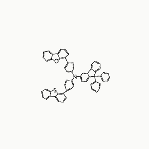 c1ccc(C2(c3ccccc3)c3ccccc3-c3cc(N(c4ccc(-c5cccc6c5oc5ccccc56)cc4)c4ccc(-c5cccc6c5sc5ccccc56)cc4)ccc32)cc1